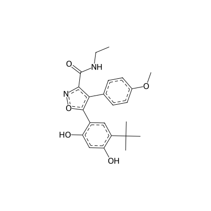 CCNC(=O)c1noc(-c2cc(C(C)(C)C)c(O)cc2O)c1-c1ccc(OC)cc1